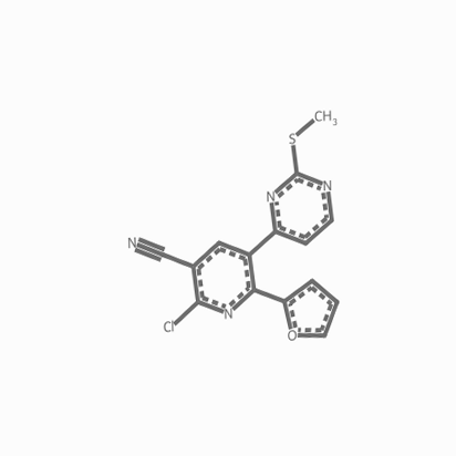 CSc1nccc(-c2cc(C#N)c(Cl)nc2-c2ccco2)n1